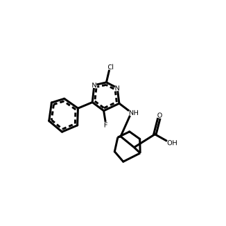 O=C(O)C1C2CCC(CC2)C1Nc1nc(Cl)nc(-c2ccccc2)c1F